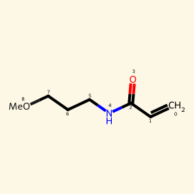 C=CC(=O)NCCCOC